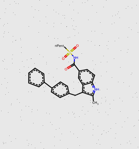 CCCCCS(=O)(=O)NC(=O)c1ccc2[nH]c(C)c(Cc3ccc(-c4ccccc4)cc3)c2c1